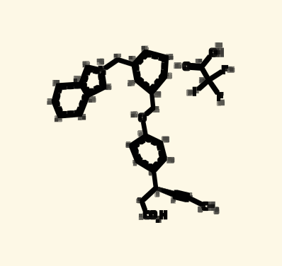 CC#C[C@@H](CC(=O)O)c1ccc(OCc2cccc(Cn3cc4ccccc4c3)c2)cc1.O=C(O)C(F)(F)F